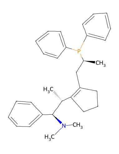 C[C@H](C1=C(C[C@H](C)P(c2ccccc2)c2ccccc2)CCC1)[C@H](c1ccccc1)N(C)C